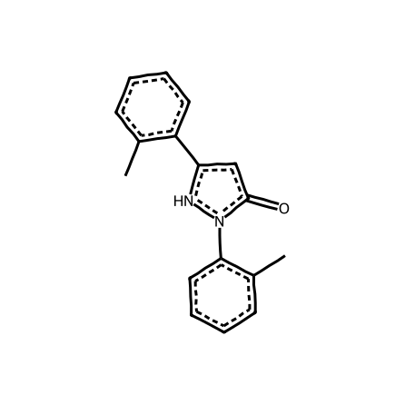 Cc1ccccc1-c1cc(=O)n(-c2ccccc2C)[nH]1